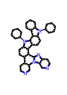 c1ccc(-n2c3ccccc3c3c2ccc2c4c5c(ccc4n(-c4ccccc4)c23)c2ccncc2n2c3cnccc3nc52)cc1